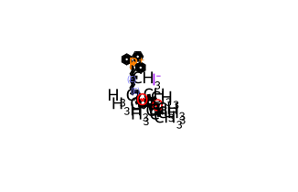 C/C(=C\CCC1(C)CCc2c(C)c(O[Si](C)(C)C(C)(C)C)c(C)c(C)c2O1)CC/C=C(\C)CCC[P+](c1ccccc1)(c1ccccc1)c1ccccc1.[I-]